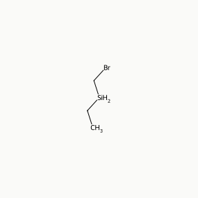 CC[SiH2]CBr